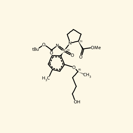 COC(=O)[C@@H]1CCCN1[S@](=O)(=NC(=O)OC(C)(C)C)c1ccc(C)cc1O[C@H](C)CCCO